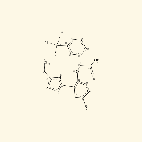 CCn1ccc(-c2cc(Br)ccc2OC(C(=O)O)c2cccc(C(F)(F)F)c2)n1